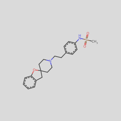 CS(=O)(=O)Nc1ccc(CCN2CCC3(CC2)Cc2ccccc2O3)cc1